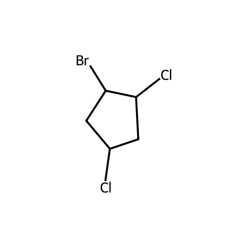 ClC1CC(Cl)C(Br)C1